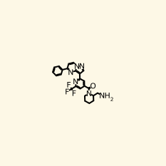 NCC1CCCCN1C(=O)c1cc(-c2cnn3ccc(-c4ccccc4)nc23)nc(C(F)(F)F)c1